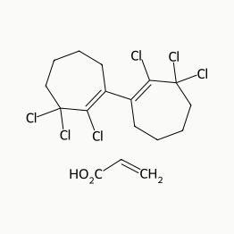 C=CC(=O)O.ClC1=C(C2=C(Cl)C(Cl)(Cl)CCCC2)CCCCC1(Cl)Cl